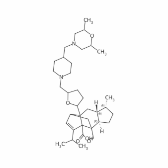 CC1CN(CC2CCN(CC3CCC(C45C[C@@H]6[C@H](C)CC[C@H]6C6(C=O)CC4C=C(C(C)C)C56C(=O)O)O3)CC2)CC(C)O1